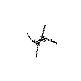 CCCCCCCCc1cc2c3cc(CCCCCCCC)sc3c3cc4cc5c(cc4cc3c2s1)c1sc(CCCCCCCC)cc1c1cc(CCCCCCCC)sc15